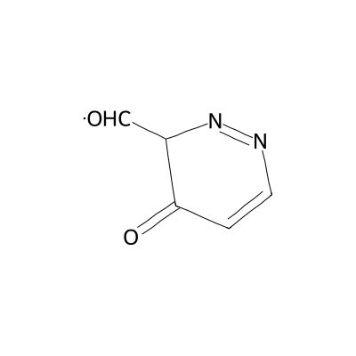 O=[C]C1N=NC=CC1=O